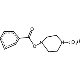 O=C(ON1CCN(C(=O)O)CC1)c1ccccc1